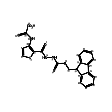 O=C(NNC(=O)c1sccc1NC(=O)C(=O)O)OCC1c2ccccc2-c2ccccc21